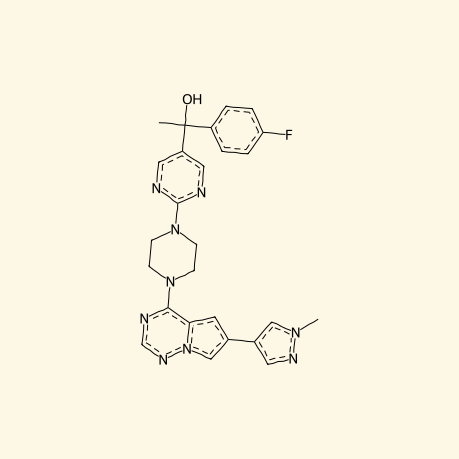 Cn1cc(-c2cc3c(N4CCN(c5ncc(C(C)(O)c6ccc(F)cc6)cn5)CC4)ncnn3c2)cn1